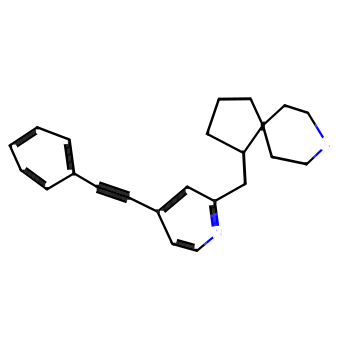 C(#Cc1ccnc(CC2CCCC23CCNCC3)c1)c1ccccc1